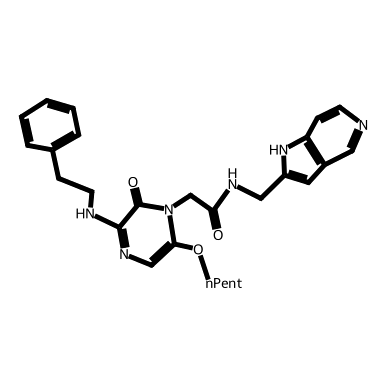 CCCCCOc1cnc(NCCc2ccccc2)c(=O)n1CC(=O)NCc1cc2cnccc2[nH]1